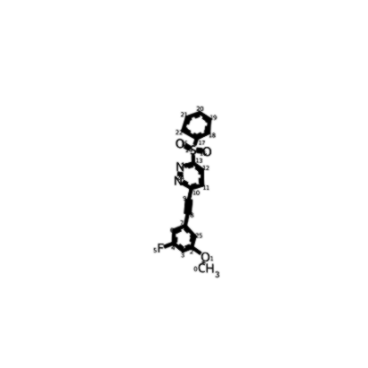 COc1cc(F)cc(C#Cc2ccc(S(=O)(=O)c3ccccc3)nn2)c1